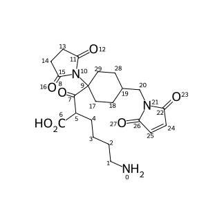 NCCCCC(C(=O)O)C(=O)C1(N2C(=O)CCC2=O)CCC(CN2C(=O)C=CC2=O)CC1